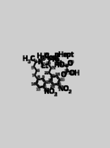 CCCCCCCN(CC)C(C)CCCc1ccc([N+](=O)[O-])cc1.CCCCCCCN(CC)C(C)CCCc1ccc([N+](=O)[O-])cc1.O=C(O)C(=O)O